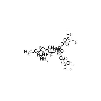 CCOc1nc(N)nc2c1ncn2[C@@H](C)[C@H](F)[C@@](F)(COP(=O)(OCOC(=O)OC(C)C)OCOC(=O)OC(C)C)OC